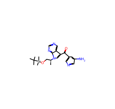 C[C@@H](CO[Si](C)(C)C(C)(C)C)n1cc(C(=O)c2cncc(N)c2)c2cncnc21